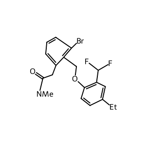 CCc1ccc(OCc2c(Br)cccc2CC(=O)NC)c(C(F)F)c1